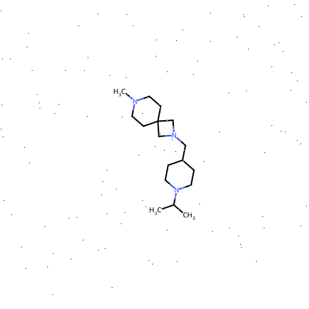 CC(C)N1CCC(CN2CC3(CCN(C)CC3)C2)CC1